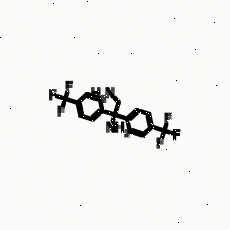 NCC(N)(c1ccc(C(F)(F)F)cc1)c1ccc(C(F)(F)F)cc1